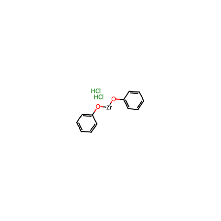 Cl.Cl.c1ccc([O][Zr][O]c2ccccc2)cc1